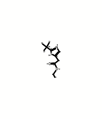 CCOC(=O)Cc1cnc(C(C)(C)C)s1